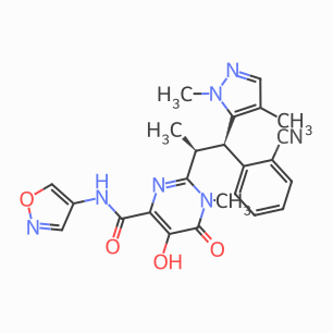 Cc1cnn(C)c1[C@@H](c1ccccc1C#N)[C@H](C)c1nc(C(=O)Nc2cnoc2)c(O)c(=O)n1C